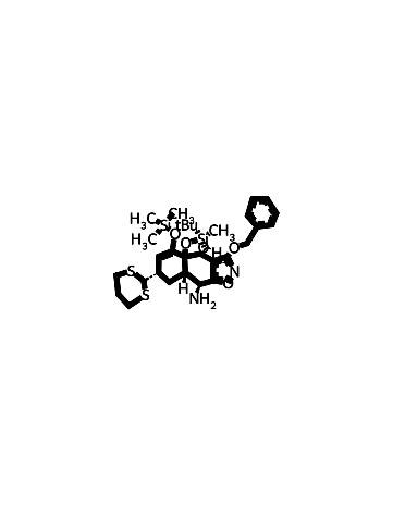 CC(C)(C)[Si](C)(C)OC12C(=O)c3c(OCc4ccccc4)noc3[C@@H](N)[C@@H]1C[C@H](C1SCCCS1)C=C2O[Si](C)(C)C